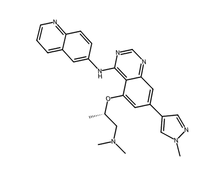 C[C@@H](CN(C)C)Oc1cc(-c2cnn(C)c2)cc2ncnc(Nc3ccc4ncccc4c3)c12